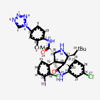 COc1cc(-n2cnnn2)ccc1NC(=O)[C@@H]1N[C@@H](CC(C)(C)C)[C@@]2(C(=O)Nc3cc(Cl)ccc32)[C@H]1c1cccc(I)c1F